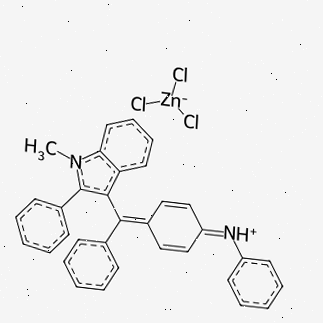 Cn1c(-c2ccccc2)c(C(=C2C=CC(=[NH+]c3ccccc3)C=C2)c2ccccc2)c2ccccc21.[Cl][Zn-]([Cl])[Cl]